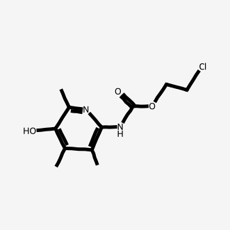 Cc1nc(NC(=O)OCCCl)c(C)c(C)c1O